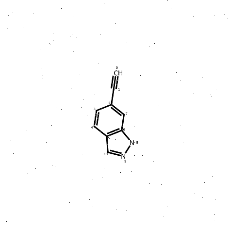 C#Cc1ccc2c(c1)[N]N=C2